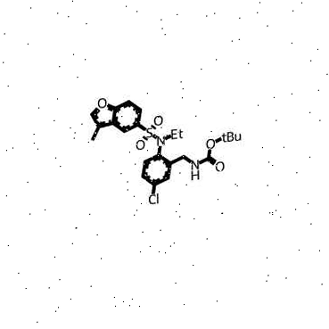 CCN(c1ccc(Cl)cc1CNC(=O)OC(C)(C)C)S(=O)(=O)c1ccc2occ(C)c2c1